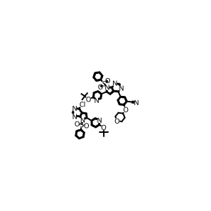 CC(C)(C)Oc1ccc(-c2cc3c(-c4ccc(OC5CCOCC5)c(C#N)c4)ncnc3n2S(=O)(=O)c2ccccc2)cn1.CC(C)(C)Oc1ccc(-c2cc3c(Cl)ncnc3n2S(=O)(=O)c2ccccc2)cn1